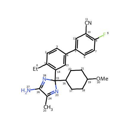 CCc1ccc(-c2ccc(F)c(C#N)c2)cc1C1(C2CCC(OC)CC2)N=C(C)C(N)=N1